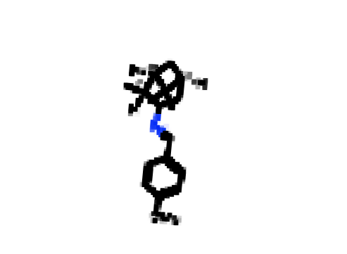 COc1ccc(/C=N/C2C[C@@H]3C[C@H]([C@H]2C)C3(C)C)cc1